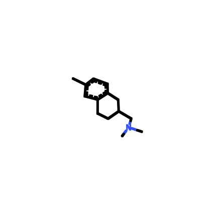 Cc1ccc2c(c1)CCC(CN(C)C)C2